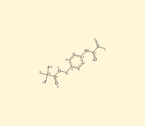 C=C(C)C(=O)Oc1ccc(COC(=O)C(C)(F)F)cc1